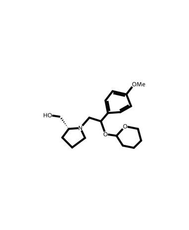 COc1ccc(C(CN2CCC[C@@H]2CO)OC2CCCCO2)cc1